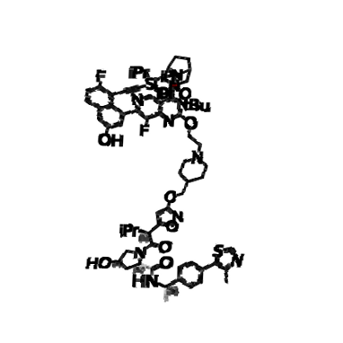 Cc1ncsc1-c1ccc([C@H](C)NC(=O)[C@@H]2C[C@@H](O)CN2C(=O)[C@H](c2cc(OCC3CCN(CCOc4nc(N5CC6CCC(C5)N6C(=O)OC(C)(C)C)c5cnc(-c6cc(O)cc7ccc(F)c(C#C[Si](C(C)C)(C(C)C)C(C)C)c67)c(F)c5n4)CC3)no2)C(C)C)cc1